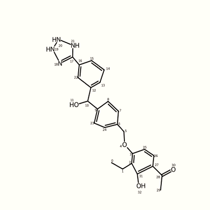 CCc1c(OCc2ccc(C(O)c3cccc(C4=NNNN4)c3)cc2)ccc(C(C)=O)c1O